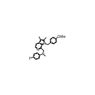 COc1ccc(Cn2c(C)c(C)c3ccnc(CN(C)c4ccc(F)cc4)c32)cc1